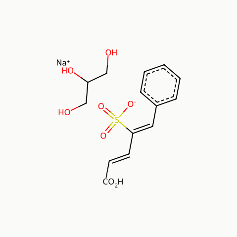 O=C(O)C=CC(=Cc1ccccc1)S(=O)(=O)[O-].OCC(O)CO.[Na+]